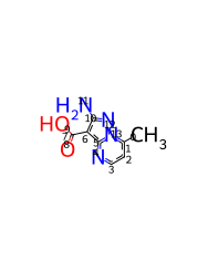 Cc1ccnc2c(C(=O)O)c(N)nn12